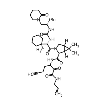 C#CCCC(NC(=O)[C@@H]1[C@@H]2[C@H](CN1C(=O)[C@@H](NC(=O)N[C@H](CN1CCCCC1=O)C(C)(C)C)C1(C)CCCCC1)C2(C)C)C(=O)C(=O)NCC=C